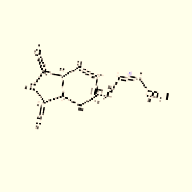 O=C(O)/C=C\C(=O)O.O=C1OC(=O)C2CCC=CC12